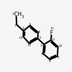 CCc1ccc(-c2ccccc2F)cc1